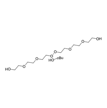 CCCCO.OCCOCCOCCOOCCOCCOCCO